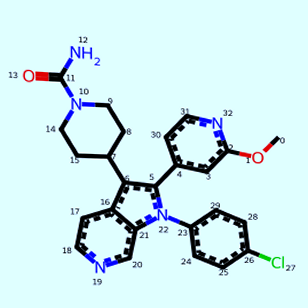 COc1cc(-c2c(C3CCN(C(N)=O)CC3)c3ccncc3n2-c2ccc(Cl)cc2)ccn1